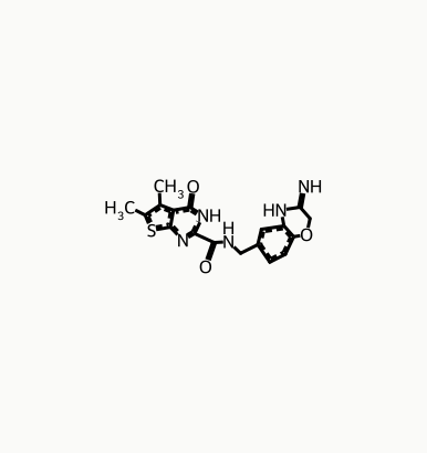 Cc1sc2nc(C(=O)NCc3ccc4c(c3)NC(=N)CO4)[nH]c(=O)c2c1C